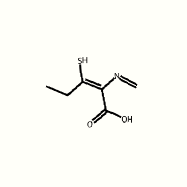 C=N/C(C(=O)O)=C(\S)CC